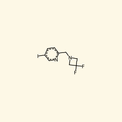 FC1(F)CN(Cc2ccc(I)cn2)C1